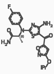 CC(C)Oc1cc(C(=O)c2sc(N(c3ccc(F)cc3)[C@H](C)C(N)=O)nc2N)on1